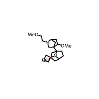 COCCN1CC2(C34CCC(CC(O)C3)N4C3COC3)CC1CC2OC